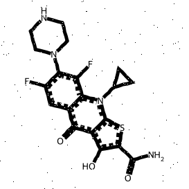 NC(=O)c1sc2c(c1O)c(=O)c1cc(F)c(N3CCNCC3)c(F)c1n2C1CC1